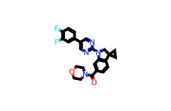 O=C(c1ccc2c(c1)N(c1ncc(-c3ccc(F)c(F)c3)cn1)CC21CC1)N1CCOCC1